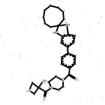 O=C(c1ccc(-c2ccc3c(c2)NC2(CCCCCCCC2)N3)cc1)N1CCN(C(=O)C2(O)COC2)CC1